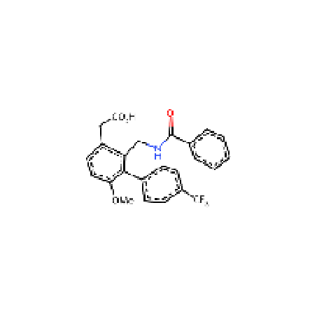 COc1ccc(CC(=O)O)c(CNC(=O)c2ccccc2)c1-c1ccc(C(F)(F)F)cc1